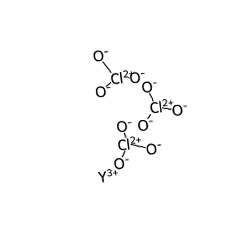 [O-][Cl+2]([O-])[O-].[O-][Cl+2]([O-])[O-].[O-][Cl+2]([O-])[O-].[Y+3]